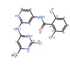 Cc1cc(Nc2cc(NC(=O)c3c(Cl)cccc3Cl)ccn2)nc(Cl)n1